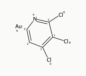 Clc1ccnc(Cl)c1Cl.[Au]